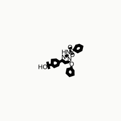 CC(C)(O)c1ccc(-c2cc(Oc3ccccc3)nc(NS(=O)(=O)c3ccccc3)n2)cc1